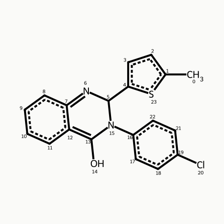 Cc1ccc(C2N=c3ccccc3=C(O)N2c2ccc(Cl)cc2)s1